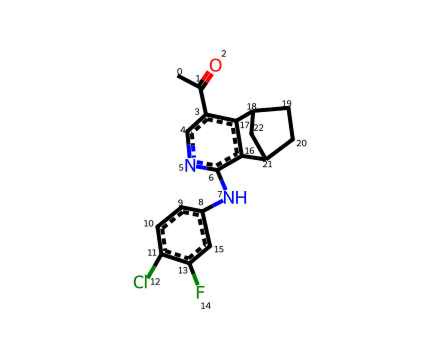 CC(=O)c1cnc(Nc2ccc(Cl)c(F)c2)c2c1C1CCC2C1